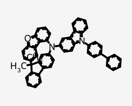 CC1(C)c2ccccc2-c2ccc(N(c3ccc4c(c3)c3ccccc3n4-c3ccc(-c4ccccc4)cc3)c3cccc4oc5ccccc5c34)cc21